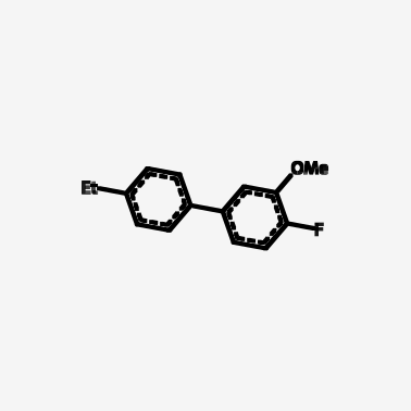 CCc1ccc(-c2ccc(F)c(OC)c2)cc1